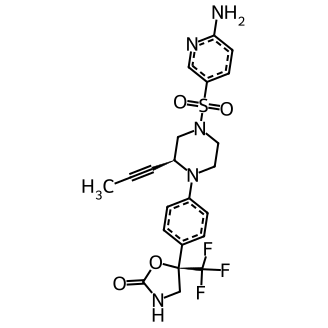 CC#C[C@H]1CN(S(=O)(=O)c2ccc(N)nc2)CCN1c1ccc([C@]2(C(F)(F)F)CNC(=O)O2)cc1